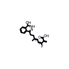 C=C(C(=O)O)/C(F)=C\C=C(/C)CCC1=NNC(O)c2ccccc21